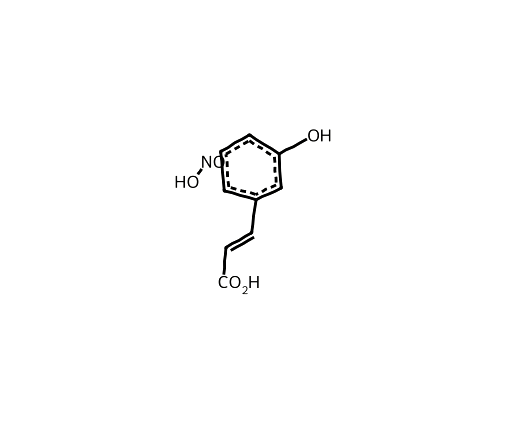 O=C(O)C=Cc1cccc(O)c1.O=NO